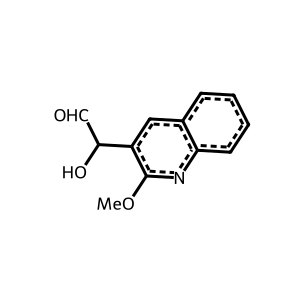 COc1nc2ccccc2cc1C(O)C=O